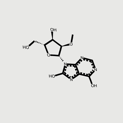 CO[C@@H]1[C@H](O)[C@@H](CO)O[C@H]1n1c(O)nc2c(O)ncnc21